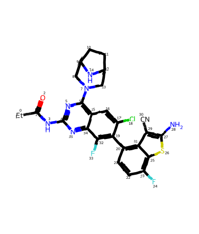 CCC(=O)Nc1nc(N2CC3CCC(C2)N3)c2cc(Cl)c(-c3ccc(F)c4sc(N)c(C#N)c34)c(F)c2n1